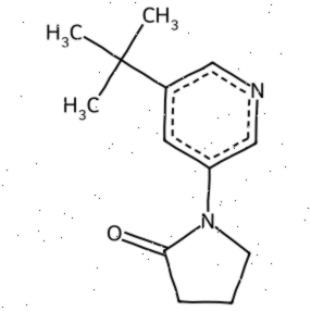 CC(C)(C)c1cncc(N2CCCC2=O)c1